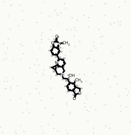 Cc1c([C@@H](O)CN(Cc2ccc(-c3ccc4oc(=O)n(C)c4c3)nc2)CC2CC2)ccc2c1COC2=O